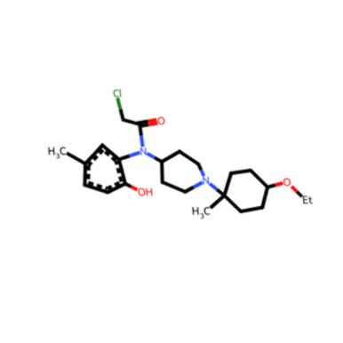 CCOC1CCC(C)(N2CCC(N(C(=O)CCl)c3cc(C)ccc3O)CC2)CC1